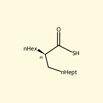 CCCCCCCC[C@@H](CCCCCC)C(=O)S